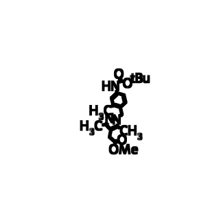 COC(=O)Cc1c(C)nn(Cc2ccc(NC(=O)OC(C)(C)C)cc2C)c1C